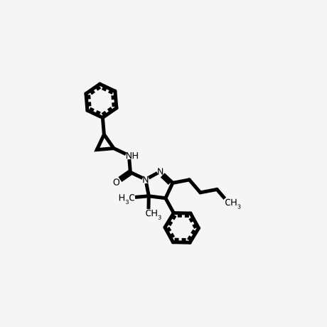 CCCCC1=NN(C(=O)NC2CC2c2ccccc2)C(C)(C)C1c1ccccc1